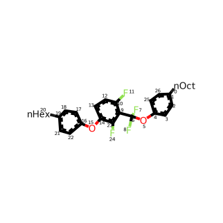 CCCCCCCCc1ccc(OC(F)(F)c2c(F)c[c]c(Oc3ccc(CCCCCC)cc3)c2F)cc1